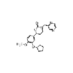 COc1ccc(C2CCN(Cc3cnccn3)C(=O)O2)cc1OC1CCCC1